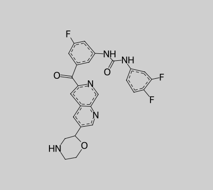 O=C(Nc1cc(F)cc(C(=O)c2cc3cc(C4CNCCO4)cnc3cn2)c1)Nc1ccc(F)c(F)c1